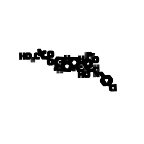 CC(C)C1=C2[C@H]3CC[C@@H]4[C@@]5(C)CC[C@H](OC(=O)CC(C)(C)C(=O)O)[C@H](C)[C@@H]5CC[C@@]4(C)[C@]3(C)CC[C@@]2([C@@H](O)CNCc2ccc(Cl)cc2)CC1=O